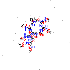 CCC[C@H](C)OC(=O)CCC(=O)N[C@@H](CCNC(=O)OC(C)(C)C)C(=O)N[C@H](C(=O)N[C@@H](CCNC(=O)OC(C)(C)C)C(=O)N[C@H]1CCNC(=O)[C@H](C(C)O)NC(=O)[C@H](CCNC(=O)OC(C)(C)C)NC(=O)[C@H](CCNC(=O)OC(C)(C)C)NC(=O)[C@H](CC(C)C)NC(=O)[C@@H](Cc2ccccc2)NC(=O)[C@H](CCNC(=O)OC(C)(C)C)NC1=O)C(C)O